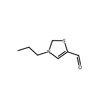 CCCN1C=C(C=O)SC1